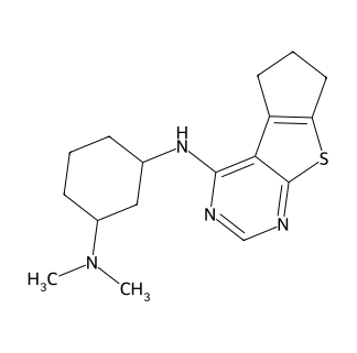 CN(C)C1CCCC(Nc2ncnc3sc4c(c23)CCC4)C1